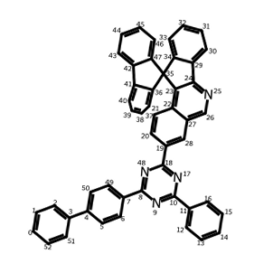 c1ccc(-c2ccc(-c3nc(-c4ccccc4)nc(-c4ccc5c6c(ncc5c4)-c4ccccc4C64c5ccccc5-c5ccccc54)n3)cc2)cc1